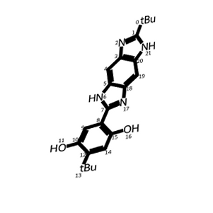 CC(C)(C)c1nc2cc3[nH]c(-c4cc(O)c(C(C)(C)C)cc4O)nc3cc2[nH]1